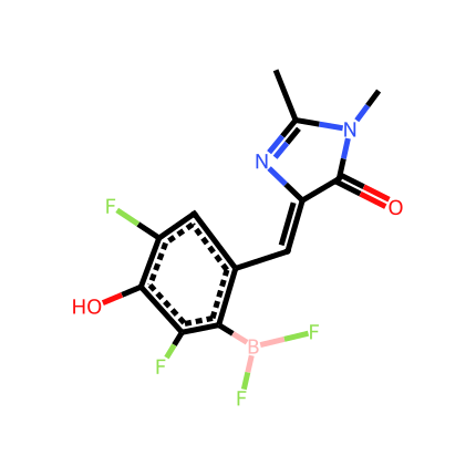 CC1=NC(=Cc2cc(F)c(O)c(F)c2B(F)F)C(=O)N1C